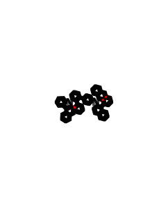 c1ccc(-c2c(-c3ccc(N(c4ccc5ccccc5c4-c4ccccc4)c4cccc5ccccc45)cc3)cccc2-n2c3ccccc3c3c4ccccc4ccc32)cc1